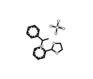 CC(c1ccccc1)[n+]1ccccc1C1OCCO1.[O-][Cl+3]([O-])([O-])[O-]